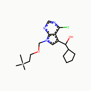 C[Si](C)(C)CCOCn1cc(C(O)C2CCCC2)c2c(Cl)ncnc21